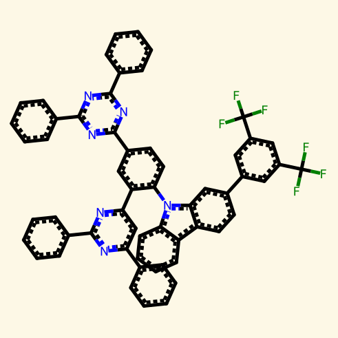 FC(F)(F)c1cc(-c2ccc3c4ccccc4n(-c4ccc(-c5nc(-c6ccccc6)nc(-c6ccccc6)n5)cc4-c4cc(-c5ccccc5)nc(-c5ccccc5)n4)c3c2)cc(C(F)(F)F)c1